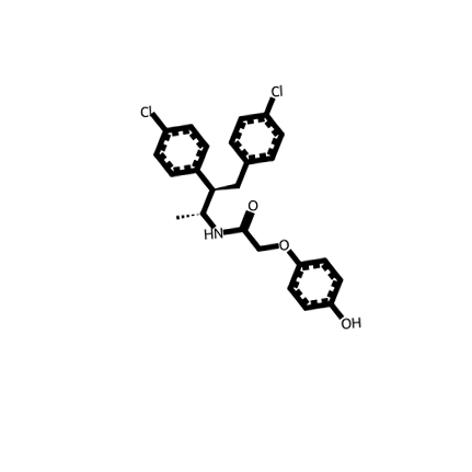 C[C@@H](NC(=O)COc1ccc(O)cc1)[C@H](Cc1ccc(Cl)cc1)c1ccc(Cl)cc1